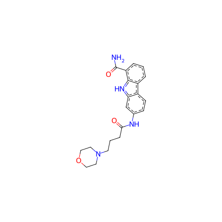 NC(=O)c1cccc2c1[nH]c1cc(NC(=O)CCCN3CCOCC3)ccc12